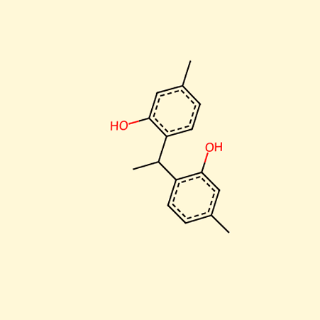 Cc1ccc(C(C)c2ccc(C)cc2O)c(O)c1